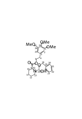 COc1cc(CCOC(=O)[C@@H]2CCCCN2C(O)OCc2ccccc2)cc(OC)c1OC